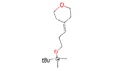 CC(C)(C)[Si](C)(C)OCCC=C1CCOCC1